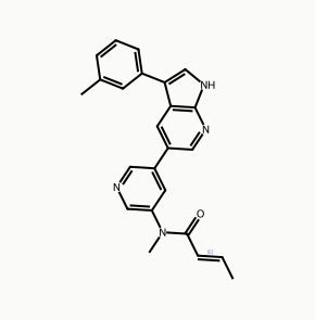 C/C=C/C(=O)N(C)c1cncc(-c2cnc3[nH]cc(-c4cccc(C)c4)c3c2)c1